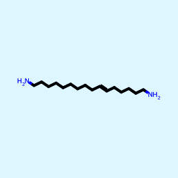 NCCCCCC=CCCCCCCCCCN